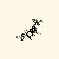 CC[C@H]1CCC[C@H](O[C@H]2CC[C@H](N(C)C3CC3)C(C)O2)[C@@H](C)C(=O)C2=C[C@H]3[C@@H]4C[C@H](O[C@@H]5OC(C)[C@H](OC)C(OC)C5OC)C[C@H]4c4sc(C)nc4[C@H]3[C@@H]2CC(=O)O1